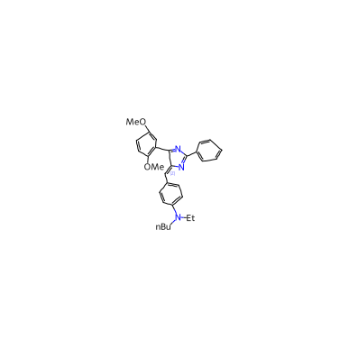 CCCCN(CC)c1ccc(/C=C2\N=C(c3ccccc3)N=C2c2cc(OC)ccc2OC)cc1